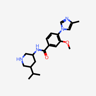 COc1cc(C(=O)NC2CNCC(C(C)C)C2)ccc1-n1cnc(C)c1